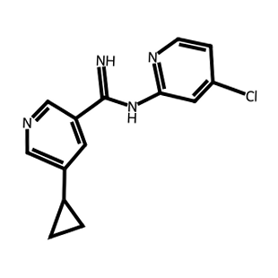 N=C(Nc1cc(Cl)ccn1)c1cncc(C2CC2)c1